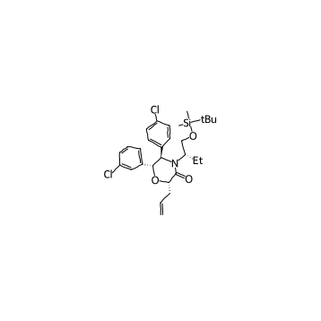 C=CC[C@@H]1O[C@H](c2cccc(Cl)c2)[C@@H](c2ccc(Cl)cc2)N([C@@H](CC)CO[Si](C)(C)C(C)(C)C)C1=O